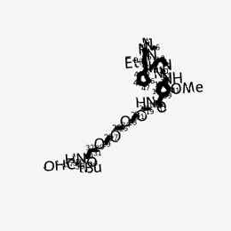 CC[C@@H]1c2nncn2-c2cnc(Nc3ccc(C(=O)NCCOCCOCCOCCOCCC(=O)NC(C=O)C(C)(C)C)cc3OC)nc2N1C1CCCC1